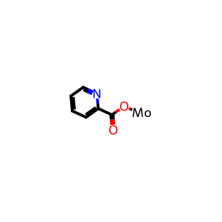 O=C([O][Mo])c1ccccn1